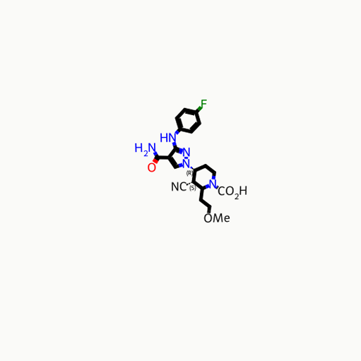 COCCC1[C@H](C#N)[C@H](n2cc(C(N)=O)c(Nc3ccc(F)cc3)n2)CCN1C(=O)O